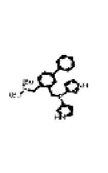 CC(C)(C)P(Cc1ccc(-c2ccccc2)cc1CP(c1cc[nH]c1)c1cc[nH]c1)C(C)(C)C